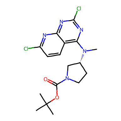 CN(c1nc(Cl)nc2nc(Cl)ccc12)[C@@H]1CCN(C(=O)OC(C)(C)C)C1